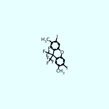 Cc1cc2c(cc1I)Oc1cc(I)c(C)cc1C2(C(F)(F)F)C(F)(F)F